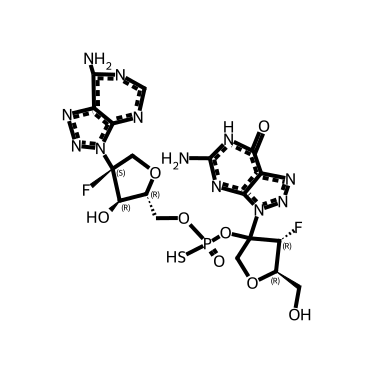 Nc1nc2c(nnn2C2(OP(=O)(S)OC[C@H]3OC[C@@](F)(n4nnc5c(N)ncnc54)[C@@H]3O)CO[C@H](CO)[C@H]2F)c(=O)[nH]1